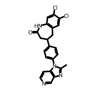 Cc1nc2cnccc2n1-c1ccc(C2CC(=O)Nc3cc(Cl)c(Cl)cc3C2)cc1